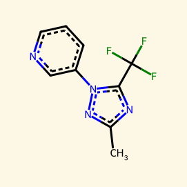 Cc1nc(C(F)(F)F)n(-c2cccnc2)n1